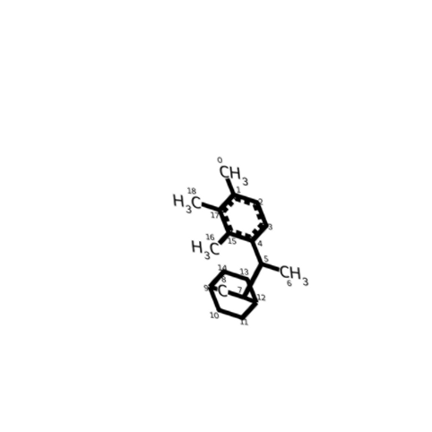 Cc1ccc(C(C)C2CC3CCC2CC3)c(C)c1C